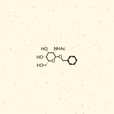 CC(=O)N[C@@H]1[C@@H](OCc2ccccc2)O[C@H](CO)[C@H](O)[C@@H]1O